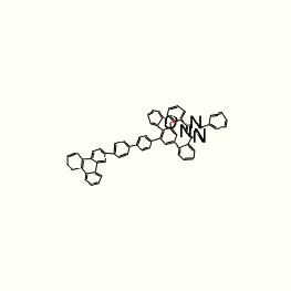 C1=Cc2c(c3ccccc3c3cc(-c4ccc(-c5ccc(-c6cc(-c7ccccc7-c7nc(-c8ccccc8)nc(-c8ccccc8)n7)cc7oc8ccccc8c67)cc5)cc4)ccc23)CC1